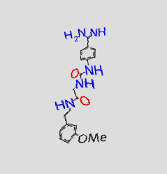 COc1cccc(CCNC(=O)CNC(=O)Nc2ccc(C(=N)N)cc2)c1